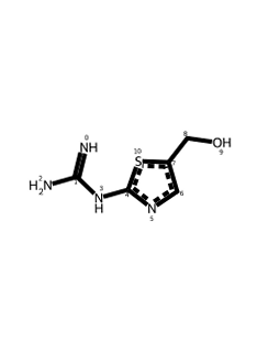 N=C(N)Nc1ncc(CO)s1